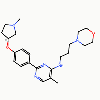 Cc1cnc(-c2ccc(O[C@H]3CCN(C)C3)cc2)nc1NCCCN1CCOCC1